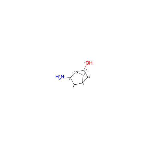 NC1CC2CC(O)C1C2